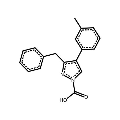 Cc1cccc(-c2cn(C(=O)O)nc2Cc2ccccc2)c1